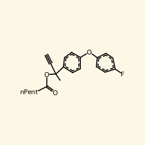 C#CC(C)(OC(=O)CCCCC)c1ccc(Oc2ccc(F)cc2)cc1